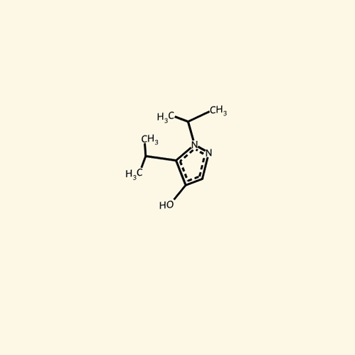 CC(C)c1c(O)cnn1C(C)C